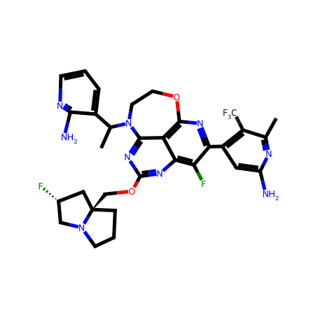 Cc1nc(N)cc(-c2nc3c4c(nc(OC[C@@]56CCCN5C[C@H](F)C6)nc4c2F)N(C(C)c2cccnc2N)CCO3)c1C(F)(F)F